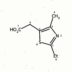 CCc1nc(C)c(CC(=O)O)s1